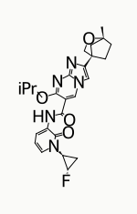 CC(C)Oc1nc2nc([C@]34CC[C@](C)(C3)OC4)cn2cc1C(=O)Nc1cccn([C@H]2C[C@@H]2F)c1=O